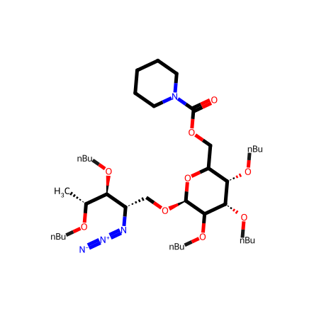 CCCCOC1[C@@H](OC[C@H](N=[N+]=[N-])[C@H](OCCCC)[C@@H](C)OCCCC)OC(COC(=O)N2CCCCC2)[C@H](OCCCC)[C@@H]1OCCCC